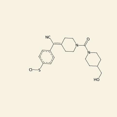 N#CC(=C1CCN(C(=O)N2CCC(CO)CC2)CC1)c1ccc(SCl)cc1